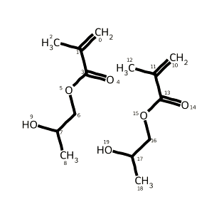 C=C(C)C(=O)OCC(C)O.C=C(C)C(=O)OCC(C)O